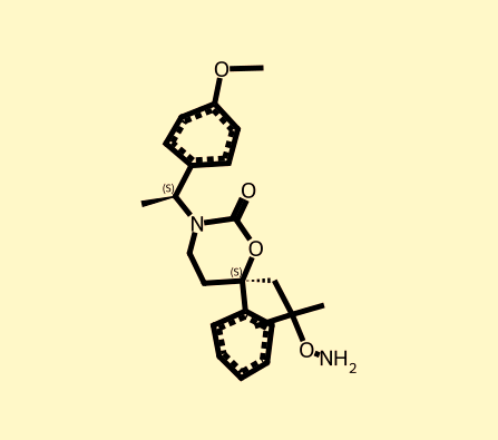 COc1ccc([C@H](C)N2CC[C@](CC(C)(C)ON)(c3ccccc3)OC2=O)cc1